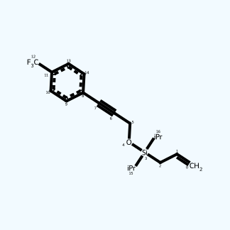 C=CC[Si](OCC#Cc1ccc(C(F)(F)F)cc1)(C(C)C)C(C)C